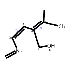 C=N/C=C\C(CO)=C(/C)Cl